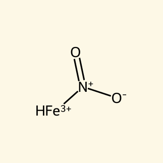 O=[N+]([O-])[FeH+3]